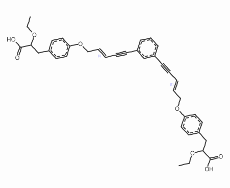 CCOC(Cc1ccc(OC/C=C/C#Cc2cccc(C#C/C=C/COc3ccc(CC(OCC)C(=O)O)cc3)c2)cc1)C(=O)O